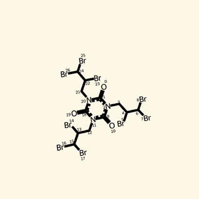 O=c1n(CC(Br)C(Br)Br)c(=O)n(CC(Br)C(Br)Br)c(=O)n1CC(Br)C(Br)Br